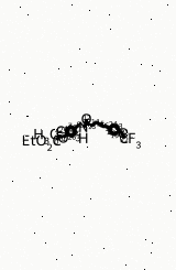 CCOC(=O)C(C)(C)Oc1ccc(CNC(=O)CCC#Cc2ccc(OC(F)(F)F)cc2)cc1